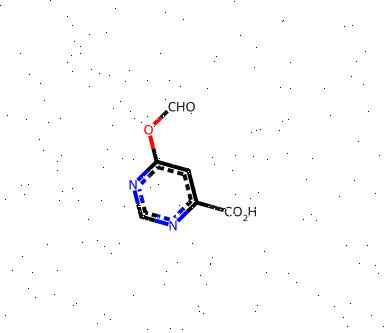 O=COc1cc(C(=O)O)ncn1